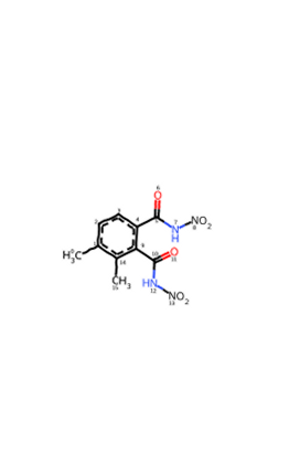 Cc1ccc(C(=O)N[N+](=O)[O-])c(C(=O)N[N+](=O)[O-])c1C